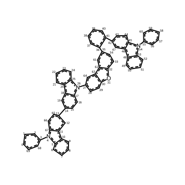 c1ccc(-n2c3ccccc3c3cc(-c4ccc5c(c4)c4ccccc4n5-c4ccc5oc6ccc(-c7ccccc7-c7ccc8c(c7)c7ccccc7n8-c7ccccc7)cc6c5c4)ccc32)cc1